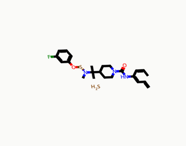 C=C/C=C(\C=C/C)NC(=O)N1CCC(C(C)(C)N(C)SOc2cccc(F)c2)CC1.S